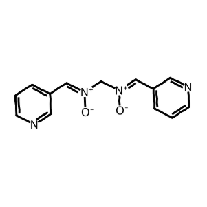 [O-]/[N+](=C\c1cccnc1)C/[N+]([O-])=C/c1cccnc1